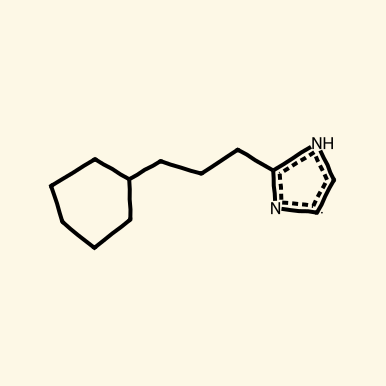 [c]1c[nH]c(CCCC2CCCCC2)n1